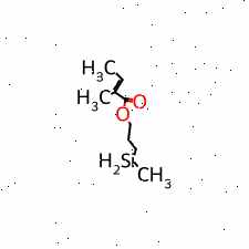 C/C=C(\C)C(=O)OCCC[SiH2]C